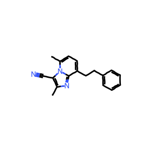 Cc1nc2c(CCc3ccccc3)ccc(C)n2c1C#N